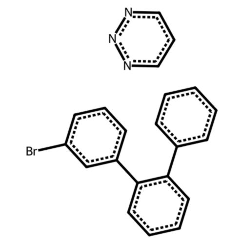 Brc1cccc(-c2ccccc2-c2ccccc2)c1.c1cnnnc1